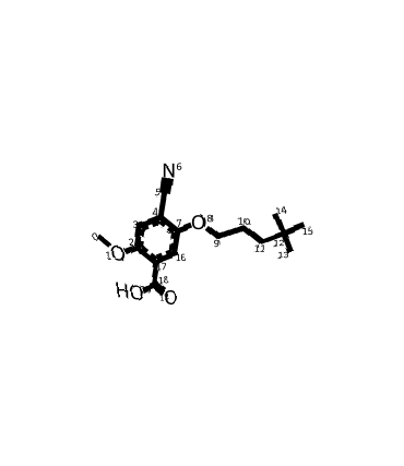 COc1cc(C#N)c(OCCCC(C)(C)C)cc1C(=O)O